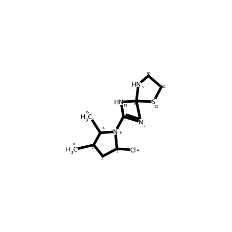 CC1CC(Cl)N(C2=NC3(NCCS3)N2)C1C